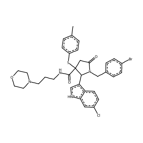 Cc1ccc(SC2(C(=O)NCCCN3CCOCC3)CC(=O)N(Cc3ccc(Br)cc3)C2c2c[nH]c3cc(Cl)ccc23)cc1